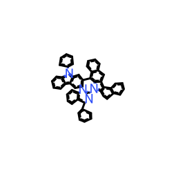 c1ccc(-c2nc(-n3c4ccc5ccccc5c4c4cc5ccccc5c(-c5ccc6c7ccccc7n(-c7ccccc7)c6c5)c43)nc3ccccc23)cc1